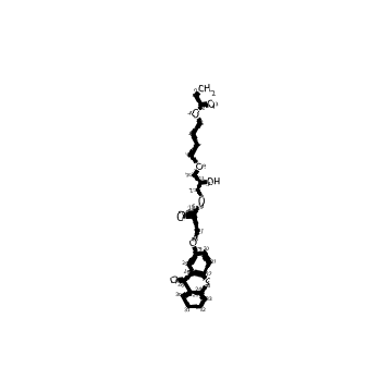 C=CC(=O)OCCCCOCC(O)COC(=O)COc1ccc2sc3c(c(=O)c2c1)=CCCC=3